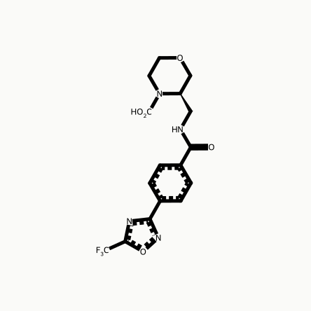 O=C(NC[C@@H]1COCCN1C(=O)O)c1ccc(-c2noc(C(F)(F)F)n2)cc1